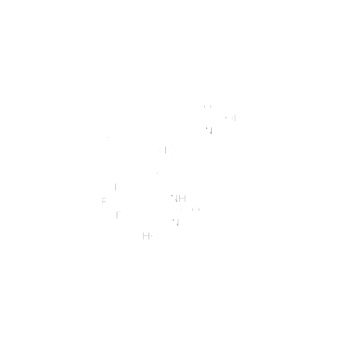 O=C(O)N1CC(CC(O)CSc2c(-c3ccc(F)cc3)c(C(F)(F)F)cc3c(O)nc(=O)[nH]c23)C1